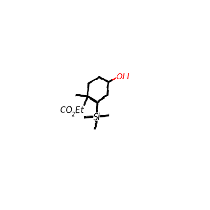 CCOC(=O)C1(C)CCC(O)CC1[Si](C)(C)C